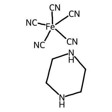 C1CNCCN1.N#[C][Fe]([C]#N)([C]#N)([C]#N)[C]#N